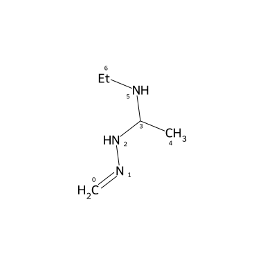 C=NNC(C)NCC